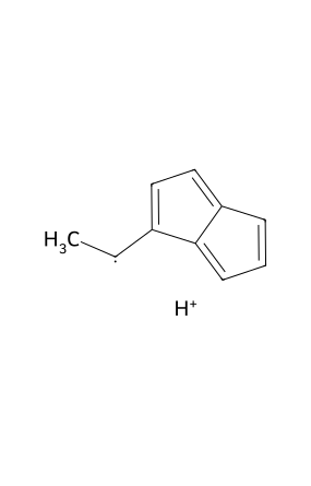 C[CH]C1=CC=C2C=CC=C12.[H+]